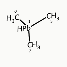 [CH3][PbH]([CH3])[CH3]